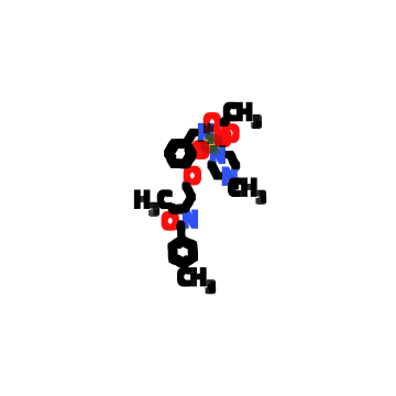 CC(=O)ON(Cc1cccc(OCCc2nc(-c3ccc(C)cc3)oc2C)c1)S(=O)(=O)N1CCN(C)CC1